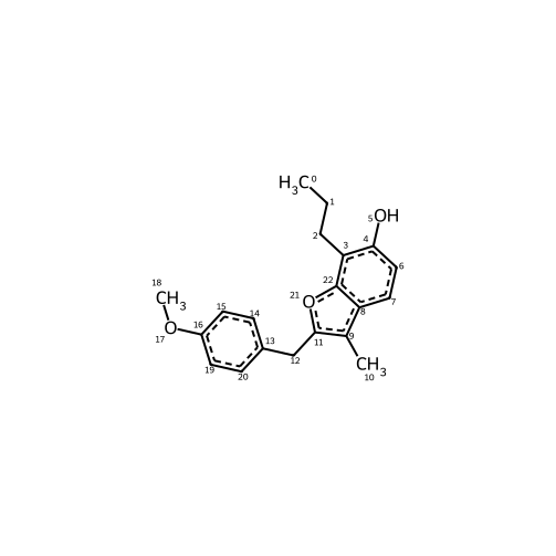 CCCc1c(O)ccc2c(C)c(Cc3ccc(OC)cc3)oc12